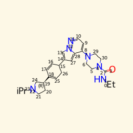 CCNC(=O)N1CCN(c2ccnn3cc(C4C=CC([C@H]5CCN(C(C)C)C5)=CC4)cc23)CC1